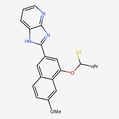 CCCC(S)Oc1cc(-c2nc3ncccc3[nH]2)cc2ccc(OC)cc12